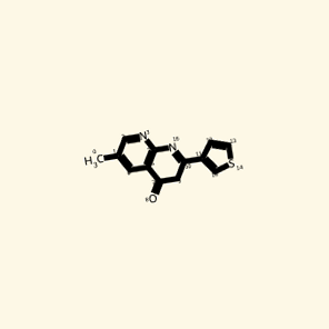 Cc1cnc2c(c1)C(=O)CC(c1ccsc1)=N2